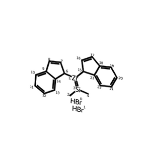 Br.Br.C[Si](C)=[Zr]([CH]1C=Cc2ccccc21)[CH]1C=Cc2ccccc21